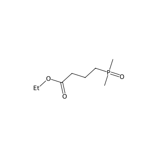 CCOC(=O)CCCP(C)(C)=O